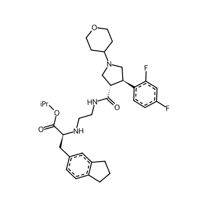 CC(C)OC(=O)[C@H](Cc1ccc2c(c1)CCC2)NCCNC(=O)[C@@H]1CN(C2CCOCC2)C[C@H]1c1ccc(F)cc1F